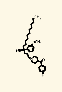 CCCCCCCCCCCCC(C#N)(CCCN1CCC(C(=O)c2ccc(F)cc2)CC1)c1cccc(OC)c1